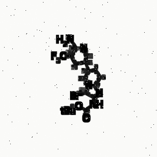 CC(C)(C)OC(=O)Nc1nc2ccc(-c3cnc(N)c(C(F)(F)F)c3)cn2c1Br